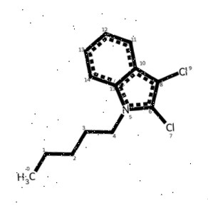 CCCCCn1c(Cl)c(Cl)c2ccccc21